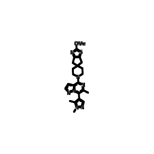 COc1nc2c(s1)CC1(CCN(c3nc(C)c(-c4cnn(C)c4C)n4nccc34)CC1)C2